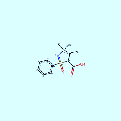 CC[C@@H](C(=O)O)S(=O)(=N[Si](C)(C)C)c1ccccc1